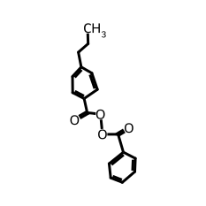 CCCc1ccc(C(=O)OOC(=O)c2ccccc2)cc1